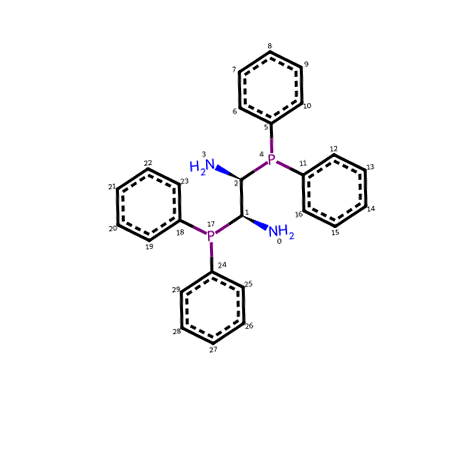 N[C@H]([C@@H](N)P(c1ccccc1)c1ccccc1)P(c1ccccc1)c1ccccc1